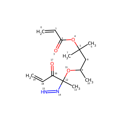 C=CC(=O)OC(C)(C)CC(C)OC(C)(N=N)C(=O)C=C